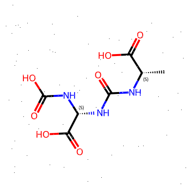 C[C@H](NC(=O)N[C@@H](NC(=O)O)C(=O)O)C(=O)O